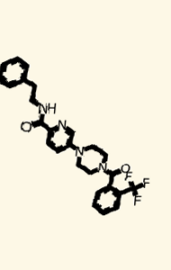 O=C(NCCc1ccccc1)c1ccc(N2CCN(C(=O)c3ccccc3C(F)(F)F)CC2)cn1